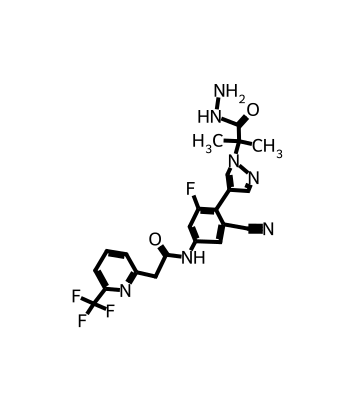 CC(C)(C(=O)NN)n1cc(-c2c(F)cc(NC(=O)Cc3cccc(C(F)(F)F)n3)cc2C#N)cn1